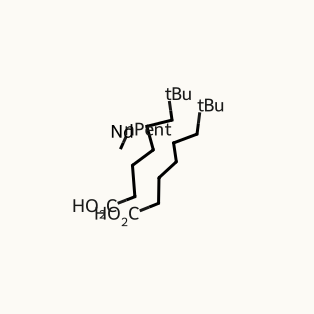 CC(C)(C)CCCCCC(=O)O.CC(C)(C)CCCCCC(=O)O.CCCCCC.[Nd]